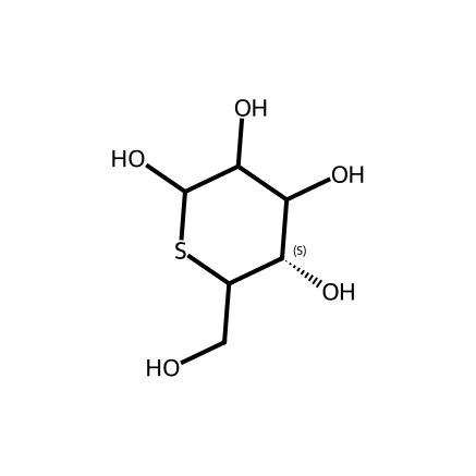 OCC1SC(O)C(O)C(O)[C@@H]1O